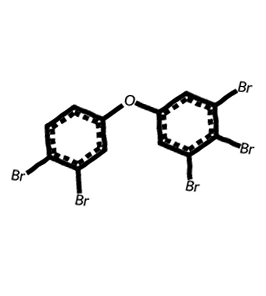 Brc1ccc(Oc2cc(Br)c(Br)c(Br)c2)cc1Br